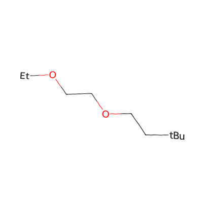 CCOCCOCCC(C)(C)C